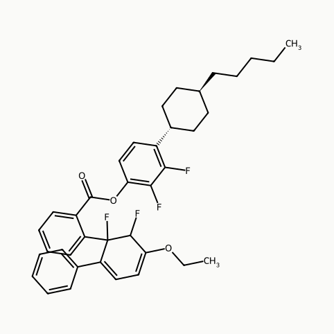 CCCCC[C@H]1CC[C@H](c2ccc(OC(=O)c3ccccc3C3(F)C(c4ccccc4)=CC=C(OCC)C3F)c(F)c2F)CC1